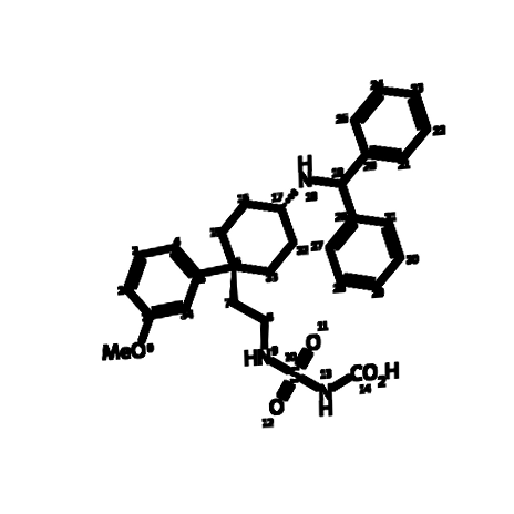 COc1cccc([C@]2(CCNS(=O)(=O)NC(=O)O)CC[C@H](NC(c3ccccc3)c3ccccc3)CC2)c1